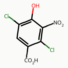 O=C(O)c1cc(Cl)c(O)c([N+](=O)[O-])c1Cl